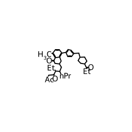 CCCC(CC1CC(=O)c2c(C)ccc(-c3ccc(CC4CCC(C(=O)CC)CC4)cc3)c2C1)C(CC)C(=O)CC(C)=O